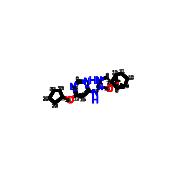 c1nc(NN2NC[C@]3(CC4CCC3CC4)O2)cc(OC2CCCC2)n1